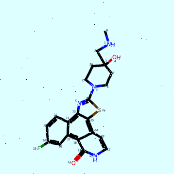 CNCC1(O)CCN(c2nc3c4ccc(F)cc4c4c(=O)[nH]ccc4c3s2)CC1